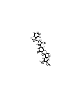 COc1cc2nccc(Oc3ccc(N4CC(C(OC)c5ccccc5)CC4=O)cc3F)c2cc1OC